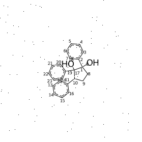 OC1(c2ccccc2)CCC(c2ccccc2)C1(O)c1ccccc1